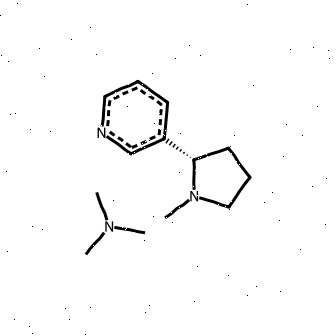 CN(C)C.CN1CCC[C@H]1c1cccnc1